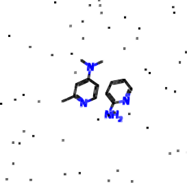 Cc1cc(N(C)C)ccn1.Nc1ccccn1